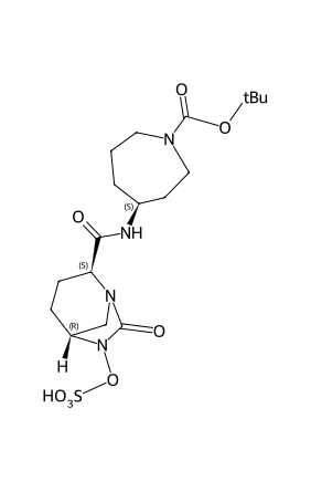 CC(C)(C)OC(=O)N1CCC[C@H](NC(=O)[C@@H]2CC[C@@H]3CN2C(=O)N3OS(=O)(=O)O)CC1